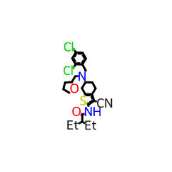 CCC(CC)C(=O)Nc1sc2c(c1C#N)CCC(N(Cc1ccc(Cl)cc1Cl)CC1CCCO1)C2